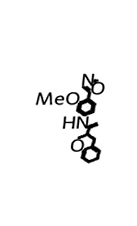 C=C(Nc1ccc(-c2cnco2)c(OC)c1)C1COC2=CCCC=C2C1